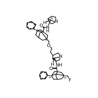 O=C(N[C@H]1CN2CCC1CC2)C12CC3C[C@@](COCCC4CN5CCC4[C@@H](NC(=O)C46CC7C[C@@](CF)(C4)C[C@](c4ccccc4)(C7)C6)C5)(C1)C[C@](c1ccccc1)(C3)C2